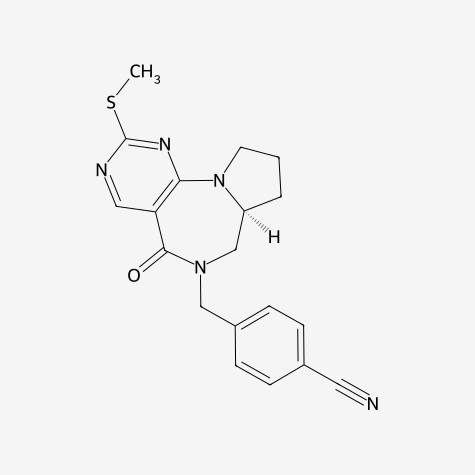 CSc1ncc2c(n1)N1CCC[C@H]1CN(Cc1ccc(C#N)cc1)C2=O